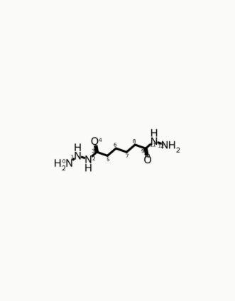 NNNC(=O)CCCCC(=O)NN